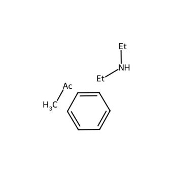 CC(C)=O.CCNCC.c1ccccc1